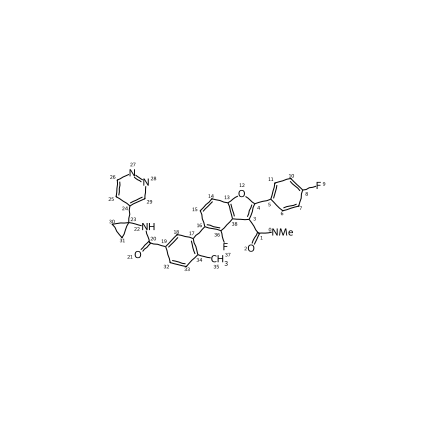 CNC(=O)c1c(-c2ccc(F)cc2)oc2ccc(-c3cc(C(=O)NC4(c5ccnnc5)CC4)ccc3C)c(F)c12